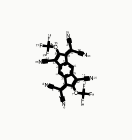 N#CC(C#N)=C1C(OC(F)(F)F)=C(C#N)c2cc3c(cc21)C(C#N)=C(OC(F)(F)F)C3=C(C#N)C#N